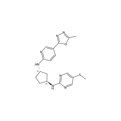 CSc1cnc(N[C@H]2CC[C@H](Nc3ccc(-c4nnc(C)o4)cn3)C2)nc1